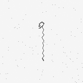 C=CCCCCCCCCCCCc1cccs1